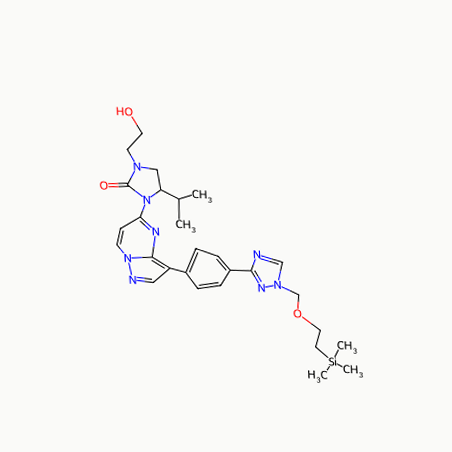 CC(C)C1CN(CCO)C(=O)N1c1ccn2ncc(-c3ccc(-c4ncn(COCC[Si](C)(C)C)n4)cc3)c2n1